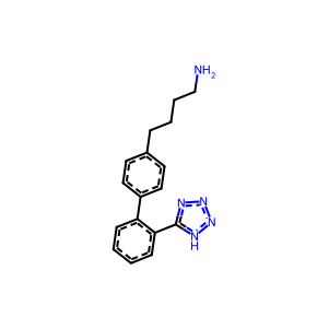 NCCCCc1ccc(-c2ccccc2-c2nnn[nH]2)cc1